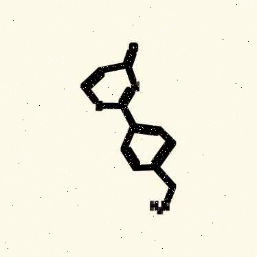 NCc1ccc(-c2nc(=O)ccs2)cc1